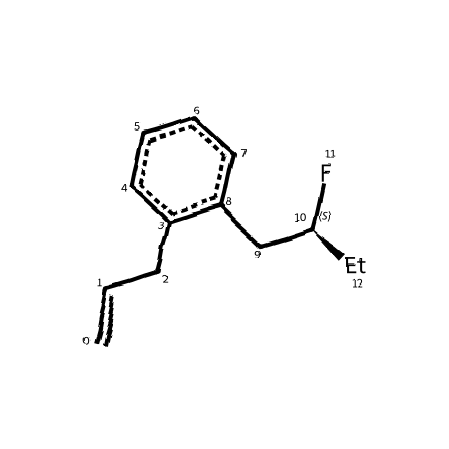 C=CCc1ccccc1C[C@@H](F)CC